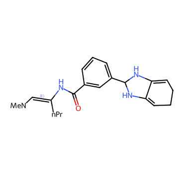 CCC/C(=C\NC)NC(=O)c1cccc(C2NC3=CCCC=C3N2)c1